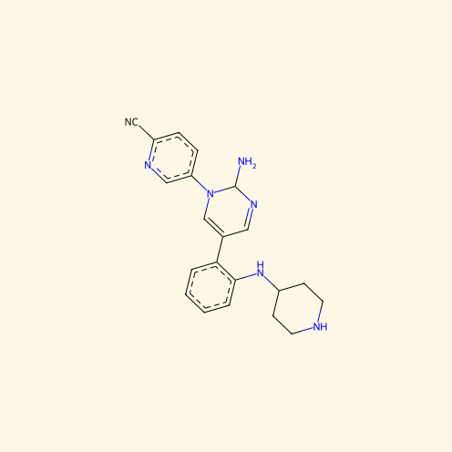 N#Cc1ccc(N2C=C(c3ccccc3NC3CCNCC3)C=NC2N)cn1